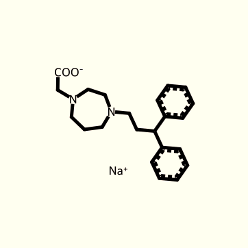 O=C([O-])CN1CCCN(CCC(c2ccccc2)c2ccccc2)CC1.[Na+]